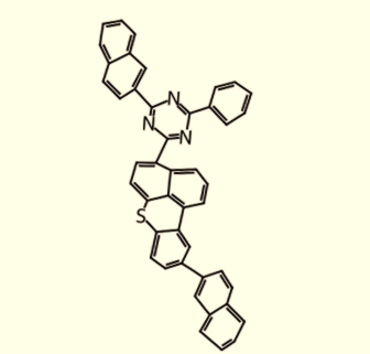 c1ccc(-c2nc(-c3ccc4ccccc4c3)nc(-c3ccc4c5c(cccc35)-c3cc(-c5ccc6ccccc6c5)ccc3S4)n2)cc1